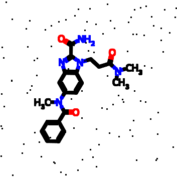 CN(C)C(=O)CCn1c(C(N)=O)nc2cc(N(C)C(=O)c3ccccc3)ccc21